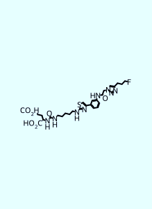 O=C(O)CC[C@H](NC(=O)NCCCCCNc1nc(-c2cccc(NC(=O)Cn3cc(CCCF)nn3)c2)cs1)C(=O)O